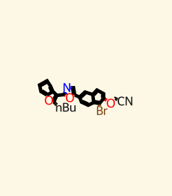 CCCCc1oc2ccccc2c1-c1ncc(-c2ccc3c(Br)c(OCC#N)ccc3c2)o1